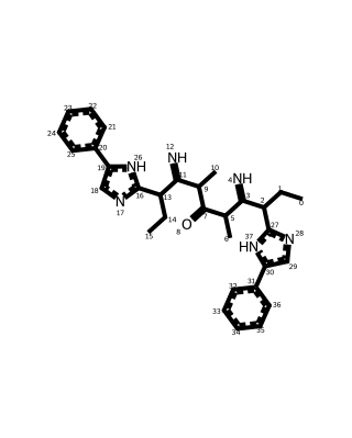 CCC(C(=N)C(C)C(=O)C(C)C(=N)C(CC)c1ncc(-c2ccccc2)[nH]1)c1ncc(-c2ccccc2)[nH]1